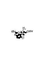 COC[C@H](C)S(=O)(=O)c1c(Cl)ccc2nc(C(C)(C)C)oc12